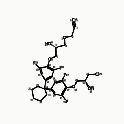 C#CCOC[C@@H](O)COc1c(F)cc(C2(c3cc(F)c(OC[C@H](O)CCl)c(F)c3)CCCCC2)cc1F